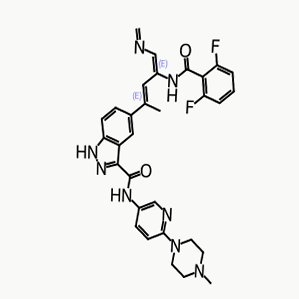 C=N/C=C(\C=C(/C)c1ccc2[nH]nc(C(=O)Nc3ccc(N4CCN(C)CC4)nc3)c2c1)NC(=O)c1c(F)cccc1F